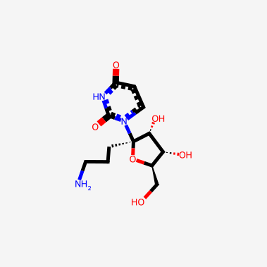 NCCC[C@@]1(n2ccc(=O)[nH]c2=O)O[C@H](CO)[C@@H](O)[C@H]1O